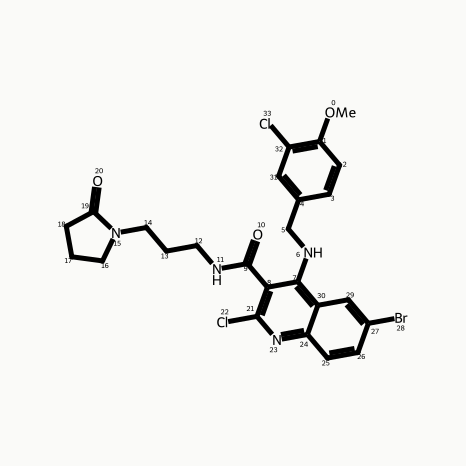 COc1ccc(CNc2c(C(=O)NCCCN3CCCC3=O)c(Cl)nc3ccc(Br)cc23)cc1Cl